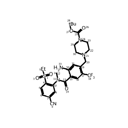 CCS(=O)(=O)c1ccc(C#N)cc1N(C)C(=O)c1cc(C(F)(F)F)c(CN2CCN(C(=O)OC(C)(C)C)CC2)cc1N